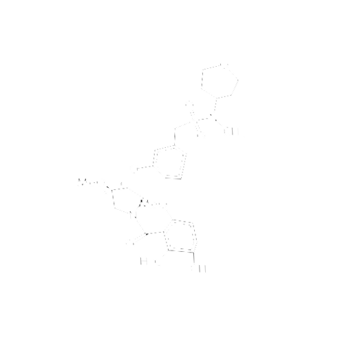 COc1ccc(C)c(C)c1C(=O)N1C[C@@H](OC)[C@H](Oc2cccc(CS(=O)(=O)N(C)C3CCOCC3)c2)C1